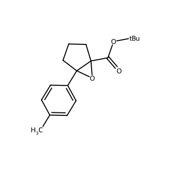 Cc1ccc(C23CCCC2(C(=O)OC(C)(C)C)O3)cc1